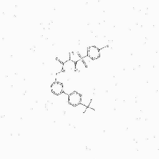 C=C(C(=O)NCc1cccc(-c2ccc(C(F)(F)F)cc2)c1)N(C)S(=O)(=O)c1ccc(Cl)cc1